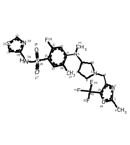 Cc1nc(CN2CCC(N(C)c3cc(F)c(S(=O)(=O)Nc4cscn4)cc3C)C2)c(C(F)(F)F)o1